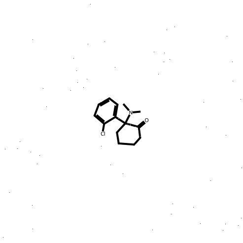 CN(C)C1(c2ccccc2Cl)CCCCC1=O